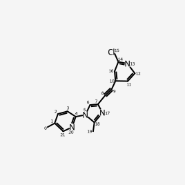 Cc1ccc(-n2cc(C#Cc3ccnc(Cl)c3)nc2C)nc1